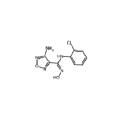 Nc1nonc1/C(=N\O)Nc1ccccc1Cl